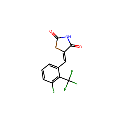 O=C1NC(=O)C(=Cc2cccc(F)c2C(F)(F)F)S1